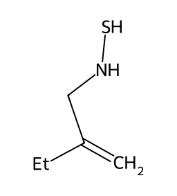 C=C(CC)CNS